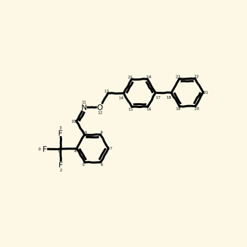 FC(F)(F)c1ccccc1/[C]=N\OCc1ccc(-c2ccccc2)cc1